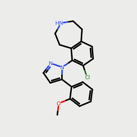 COc1ccccc1-c1ccnn1-c1c(Cl)ccc2c1CCNCC2